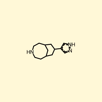 c1n[nH]cc1C1CC2CCNCCC(C2)C1